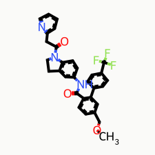 COCc1ccc(C(=O)Nc2ccc3c(c2)CCN3C(=O)Cc2ccccn2)c(-c2ccc(C(F)(F)F)cc2)c1